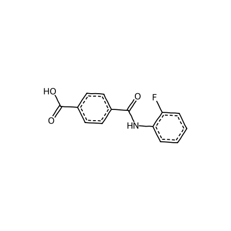 O=C(O)c1ccc(C(=O)Nc2ccccc2F)cc1